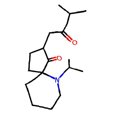 CC(C)C(=O)CC1CCC2(CCCCN2C(C)C)C1=O